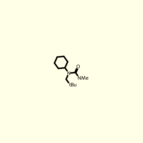 CNC(=O)N(CC(C)(C)C)C1CCCCC1